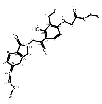 CCOC(=O)COc1ccc(C(=O)CN2CC3=C(C=CC(=C=NSC)C3)C2=O)c(O)c1CC